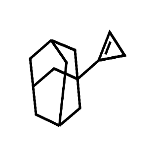 C1=C(C23CC4CC(CC(C4)C2)C3)C1